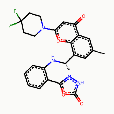 Cc1cc([C@H](C)Nc2ccccc2-c2n[nH]c(=O)o2)c2oc(N3CCC(F)(F)CC3)cc(=O)c2c1